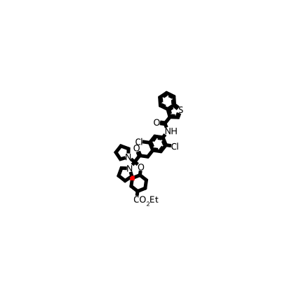 CCOC(=O)C1CCC(OC(C(=O)Cc2cc(Cl)c(NC(=O)c3csc4ccccc34)cc2Cl)(N2CCCC2)N2CCCC2)CC1